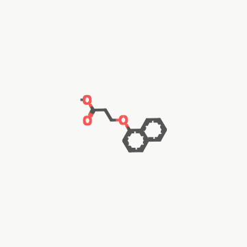 [O]C(=O)CCOc1cccc2ccccc12